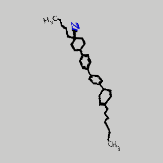 CCCCCCCC1CCC(c2ccc(-c3ccc(C4CCC(C#N)(CCCCC)CC4)cc3)cc2)CC1